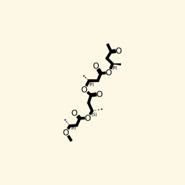 CO[C@H](C)CC(=O)O[C@@H](C)CC(=O)O[C@H](C)CC(=O)O[C@H](C)CC(C)=O